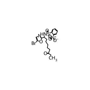 CCC(=O)CCCCCC(NS(=O)(=O)c1ccccc1[N+](=O)[O-])c1ncc(Br)o1